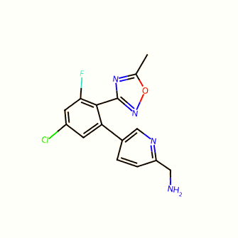 Cc1nc(-c2c(F)cc(Cl)cc2-c2ccc(CN)nc2)no1